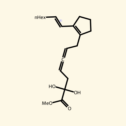 CCCCCC/C=C/C1=C(CC=C=CCC(O)(O)C(=O)OC)CCC1